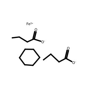 C1CCCCC1.CCCC(=O)[O-].CCCC(=O)[O-].[Fe+2]